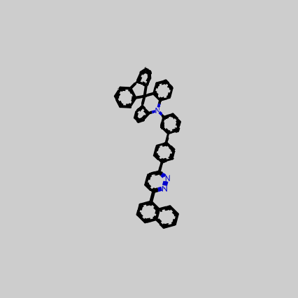 c1cc(-c2ccc(-c3ccc(-c4cccc5ccccc45)nn3)cc2)cc(N2c3ccccc3C3(c4ccccc4-c4ccccc43)c3ccccc32)c1